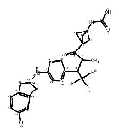 CN(C(=O)C12CC(NC(=O)O)(C1)C2)C(c1ccc(N[C@H]2Cc3ccc(Cl)cc3C2)cn1)C(F)(F)F